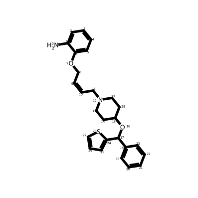 Nc1ccccc1OC/C=C\CN1CCC(OC(c2ccccc2)c2cccs2)CC1